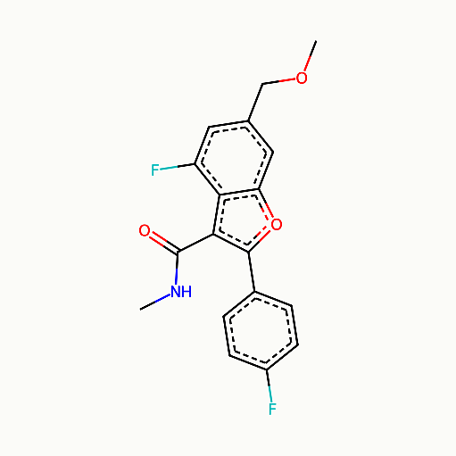 CNC(=O)c1c(-c2ccc(F)cc2)oc2cc(COC)cc(F)c12